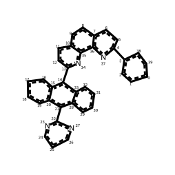 c1ccc(-c2ccc3ccc4ccc(-c5c6ccccc6c(-c6ncccn6)c6ccccc56)nc4c3n2)cc1